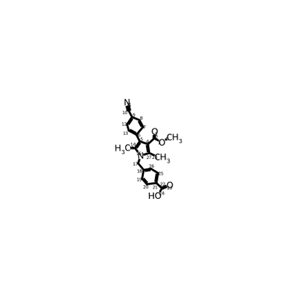 COC(=O)c1c(-c2ccc(C#N)cc2)c(C)n(Cc2ccc(C(=O)O)cc2)c1C